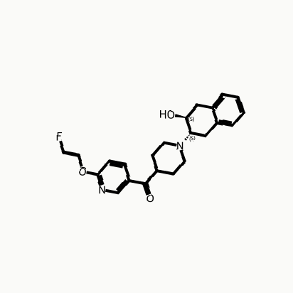 O=C(c1ccc(OCCF)nc1)C1CCN([C@H]2Cc3ccccc3C[C@@H]2O)CC1